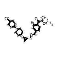 CON(C)C(=O)c1ccc(COC[C@@H]2C[C@@H]2C2CCN(c3ncc(Cl)cn3)CC2)cc1F